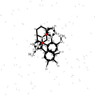 COc1cccc(C(=O)N2C3CCCC2c2nn(C)c(-c4cc(F)c(F)c(F)c4)c2C3)c1-n1ccnn1